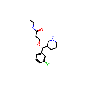 CCNC(=O)CCO[C@@H](c1cccc(Cl)c1)C1CCCNC1